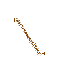 SSSSSSSSSSSSSSSSSS